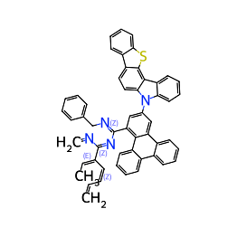 C=C\C=C/C(=C\C)C(/N=C)=N/C(=N\Cc1ccccc1)c1cc(-n2c3ccccc3c3c4sc5ccccc5c4ccc32)cc2c3ccccc3c3ccccc3c12